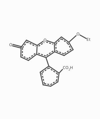 CCOc1ccc2c(-c3ccccc3C(=O)O)c3ccc(=O)cc-3oc2c1